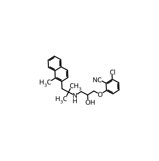 Cc1c(CC(C)(C)NCC(O)COc2cccc(Cl)c2C#N)ccc2ccccc12